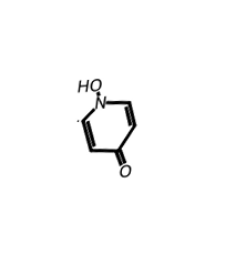 O=c1c[c]n(O)cc1